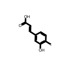 O=C(O)C=Cc1ccc(I)c(O)c1